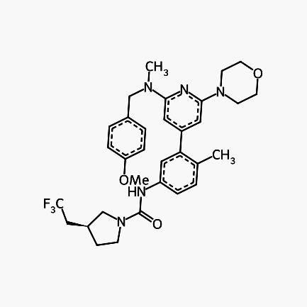 COc1ccc(CN(C)c2cc(-c3cc(NC(=O)N4CC[C@@H](CC(F)(F)F)C4)ccc3C)cc(N3CCOCC3)n2)cc1